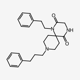 O=C1CNC(=O)C2(CCN(CCCc3ccccc3)CC2)N1CCc1ccccc1